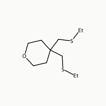 CCSCC1(CSCC)CCOCC1